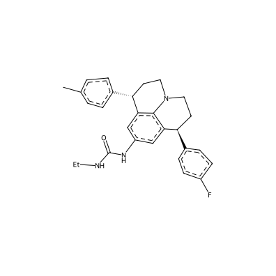 CCNC(=O)Nc1cc2c3c(c1)[C@H](c1ccc(F)cc1)CCN3CC[C@H]2c1ccc(C)cc1